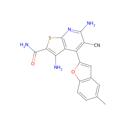 Cc1ccc2oc(-c3c(C#N)c(N)nc4sc(C(N)=O)c(N)c34)cc2c1